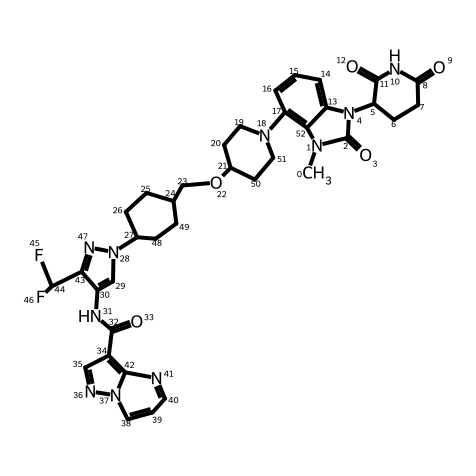 Cn1c(=O)n(C2CCC(=O)NC2=O)c2cccc(N3CCC(OCC4CCC(n5cc(NC(=O)c6cnn7cccnc67)c(C(F)F)n5)CC4)CC3)c21